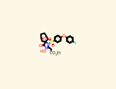 CCOC(=O)CCN(C1(C(=O)NO)CC2CCC(C1)O2)S(=O)(=O)c1ccc(Oc2ccc(F)cc2)cc1